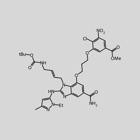 CCn1nc(C)cc1Nc1nc2cc(C(N)=O)cc(OCCCOc3cc(C(=O)OC)cc([N+](=O)[O-])c3Cl)c2n1C/C=C/CNC(=O)OC(C)(C)C